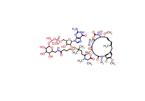 COc1cc2cc(c1Cl)N(C)C(=O)C[C@H](OC(=O)[C@H](C)N(C)C(=O)CCC(C)(C)SSCCCC(=O)NCC1O[C@H](OP(=O)(O)OP(=O)(O)OC[C@H]3O[C@@H](n4cnc5c(=O)[nH]c(N)nc54)C(O)C3O)C(O)C(O)[C@@H]1O)[C@@]1(C)O[C@H]1[C@H](C)[C@@H]1C[C@@](O)(NC(=O)O1)[C@H](OC)/C=C/C=C(\C)C2